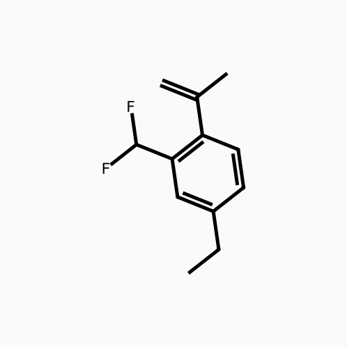 C=C(C)c1ccc(CC)cc1C(F)F